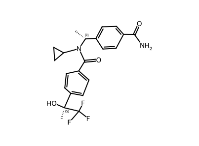 C[C@H](c1ccc(C(N)=O)cc1)N(C(=O)c1ccc([C@](C)(O)C(F)(F)F)cc1)C1CC1